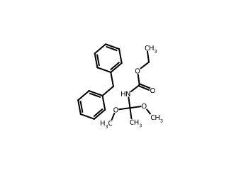 CCOC(=O)NC(C)(OC)OC.c1ccc(Cc2ccccc2)cc1